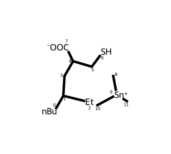 CCCCC(CC)CC(CS)C(=O)[O-].[CH3][Sn+]([CH3])[CH3]